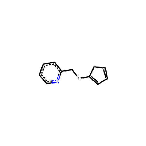 C1=CC[C]([Ti][CH2]c2ccccn2)=C1